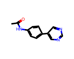 CC(=O)Nc1ccc(-c2cncnc2)cc1